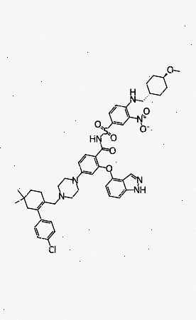 CO[C@H]1CC[C@H](CNc2ccc(S(=O)(=O)NC(=O)c3ccc(N4CCN(CC5=C(c6ccc(Cl)cc6)CC(C)(C)CC5)CC4)cc3Oc3cccc4[nH]ncc34)cc2[N+](=O)[O-])CC1